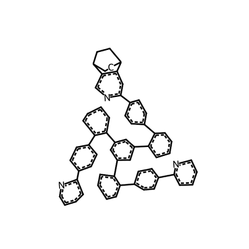 c1ccc(-c2ccc(-c3ccccc3-c3cc(-c4ccccc4-c4ccc(-c5ccccn5)cc4)cc(-c4ccccc4-c4ccc(-c5cc6c(cn5)C5CCC6CC5)cc4)c3)cc2)nc1